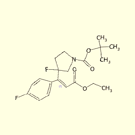 CCOC(=O)/C=C(/c1ccc(F)cc1)C1(F)CCN(C(=O)OC(C)(C)C)C1